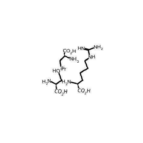 CC(C)C[C@H](N)C(=O)O.N=C(N)NCCCC[C@H](N)C(=O)O.N[C@@H](CO)C(=O)O